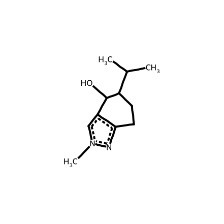 CC(C)C1CCc2nn(C)cc2C1O